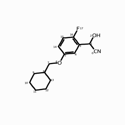 N#CC(O)c1cc(OCC2CCCCC2)ccc1F